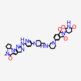 CN(C)C(=O)c1cc2cnc(Nc3ccc(N4CCC(CN[C@@H]5CCCN(c6ccc7c(c6)C(=O)N(C6CCC(=O)NC6=O)C7=O)C5)CC4)cn3)nc2n1C1CCCC1